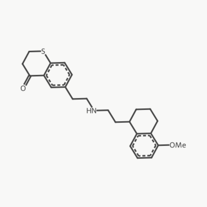 COc1cccc2c1CCCC2CCNCCc1ccc2c(c1)C(=O)CCS2